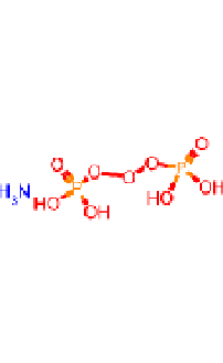 N.O=P(O)(O)OOOP(=O)(O)O